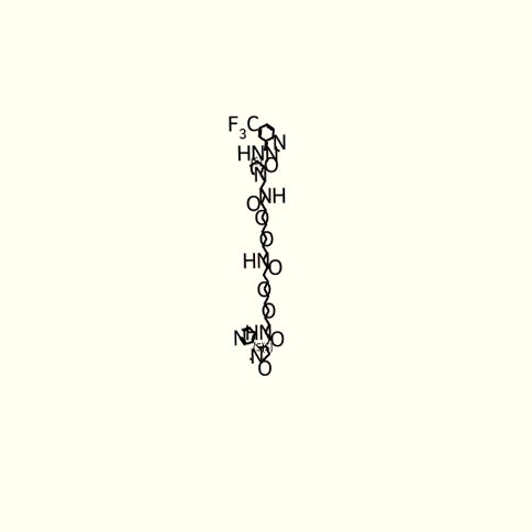 CN1C(=O)C[C@H](C(=O)NCCOCCOCCC(=O)NCCOCCOCC(=O)NCCN2CC[C@H](Nc3ncnc4ccc(C(F)(F)F)cc34)C2=O)[C@H]1c1cccnc1